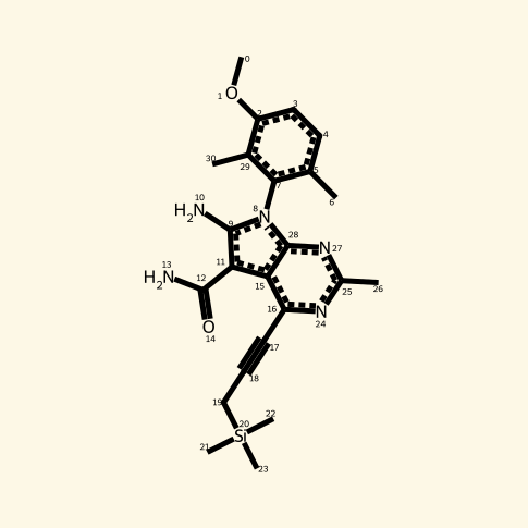 COc1ccc(C)c(-n2c(N)c(C(N)=O)c3c(C#CC[Si](C)(C)C)nc(C)nc32)c1C